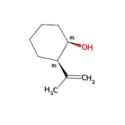 C=C(C)[C@H]1CCCC[C@H]1O